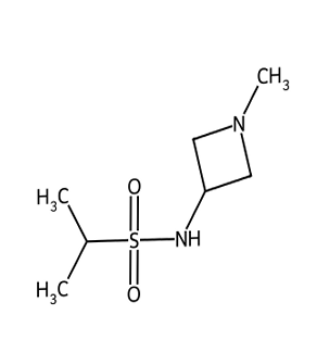 CC(C)S(=O)(=O)NC1CN(C)C1